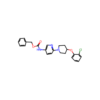 O=C(Nc1ccc(N2CCC(Oc3ccccc3Cl)CC2)nc1)OCc1ccccc1